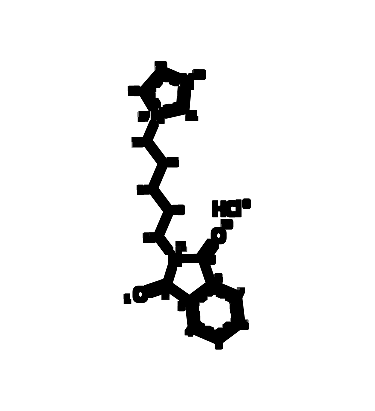 Cl.O=C1c2ccccc2C(=O)N1CCCCCn1ccnc1